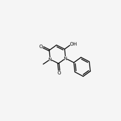 Cn1c(=O)cc(O)n(-c2ccccc2)c1=O